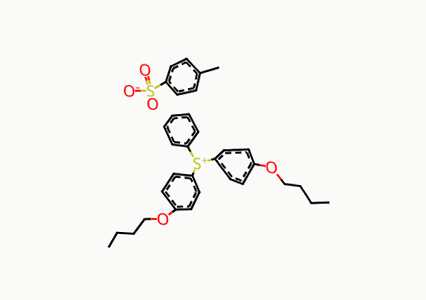 CCCCOc1ccc([S+](c2ccccc2)c2ccc(OCCCC)cc2)cc1.Cc1ccc(S(=O)(=O)[O-])cc1